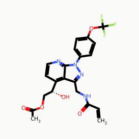 C=CC(=O)NCc1nn(-c2ccc(OC(F)(F)F)cc2)c2nccc([C@H](O)COC(C)=O)c12